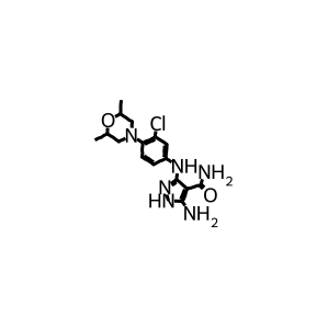 CC1CN(c2ccc(Nc3n[nH]c(N)c3C(N)=O)cc2Cl)CC(C)O1